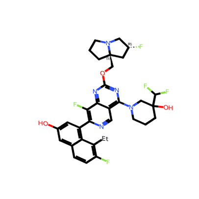 CCc1c(F)ccc2cc(O)cc(-c3ncc4c(N5CCCC(O)(C(F)F)C5)nc(OC[C@@]56CCCN5C[C@H](F)C6)nc4c3F)c12